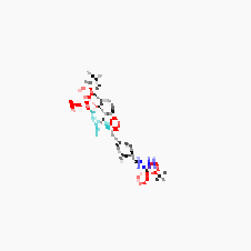 Cc1cc(COc2ccc(C(=O)CC(C)(C)C)c(O)c2C(F)(F)F)ccc1CNC(=O)OC(C)(C)C